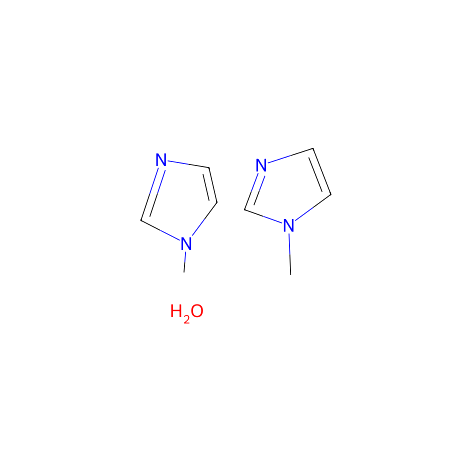 Cn1ccnc1.Cn1ccnc1.O